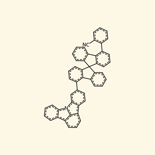 N#Cc1ccccc1-c1cccc2c1-c1ccccc1C21c2ccccc2-c2c(-c3ccc4c5cccc6c7ccccc7n(c4c3)c65)cccc21